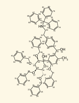 Cc1cc(OCc2ccccc2)c(C2(O)O[C@H](COCc3ccccc3)[C@@H](OCc3ccccc3)[C@H](OCc3ccccc3)[C@H]2OCc2ccccc2)cc1C(O)c1ccc(CCNC(c2ccccc2)(c2ccccc2)c2ccccc2)cc1